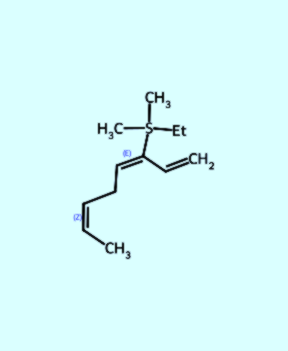 C=C/C(=C\C/C=C\C)S(C)(C)CC